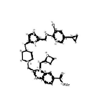 COC(=O)c1ccc2nc(CN3CCC(Cc4cnc(COc5ncc(C6CC6)cc5Cl)o4)CC3)n(CC3CCO3)c2c1